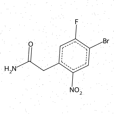 NC(=O)Cc1cc(F)c(Br)cc1[N+](=O)[O-]